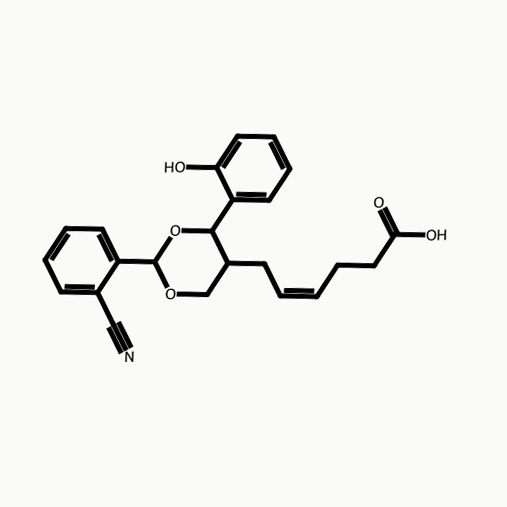 N#Cc1ccccc1C1OCC(C/C=C\CCC(=O)O)C(c2ccccc2O)O1